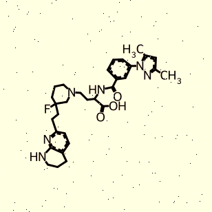 Cc1cc(C)n(-c2cccc(C(=O)NC(CCN3CCCC(F)(CCc4ccc5c(n4)NCCC5)C3)C(=O)O)c2)n1